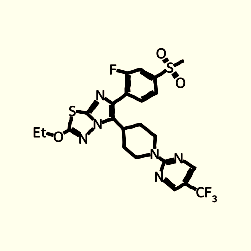 CCOc1nn2c(C3CCN(c4ncc(C(F)(F)F)cn4)CC3)c(-c3ccc(S(C)(=O)=O)cc3F)nc2s1